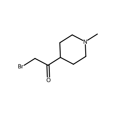 CN1CCC(C(=O)CBr)CC1